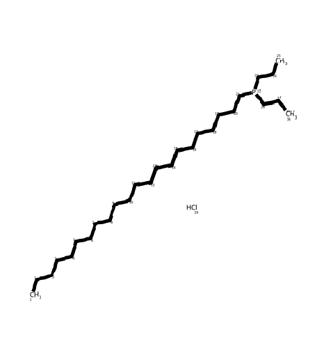 CCCCCCCCCCCCCCCCCCCCCCP(CCC)CCC.Cl